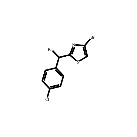 Clc1ccc(C(Br)c2nc(Br)cs2)cc1